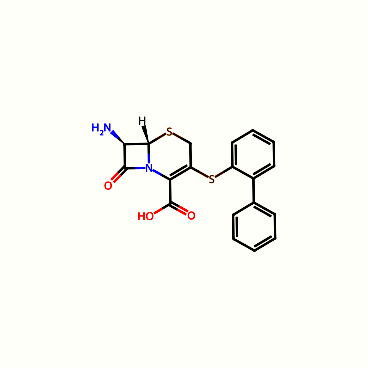 N[C@@H]1C(=O)N2C(C(=O)O)=C(Sc3ccccc3-c3ccccc3)CS[C@@H]12